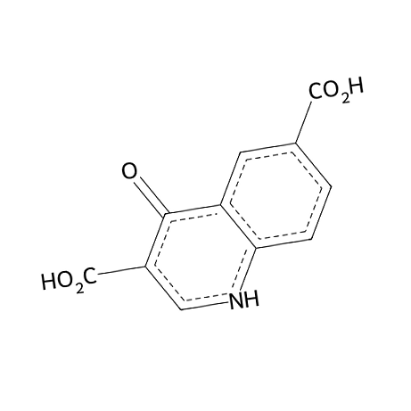 O=C(O)c1ccc2[nH]cc(C(=O)O)c(=O)c2c1